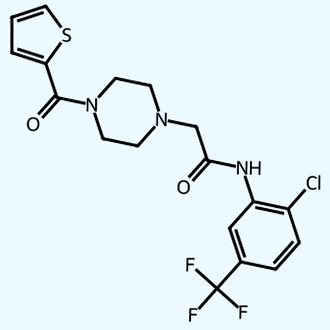 O=C(CN1CCN(C(=O)c2cccs2)CC1)Nc1cc(C(F)(F)F)ccc1Cl